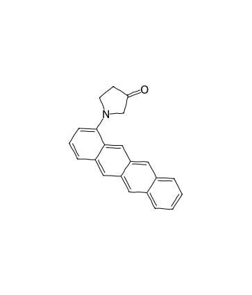 O=C1CCN(c2cccc3cc4cc5ccccc5cc4cc23)C1